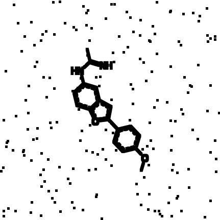 COc1ccc(-c2cc3cc(NC(C)=N)ccc3o2)cc1